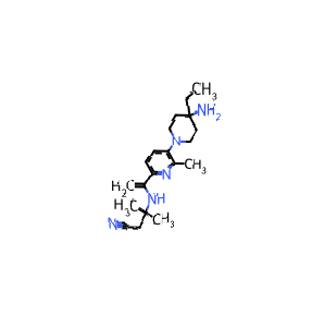 C=C(NC(C)(C)CC#N)c1ccc(N2CCC(N)(CC)CC2)c(C)n1